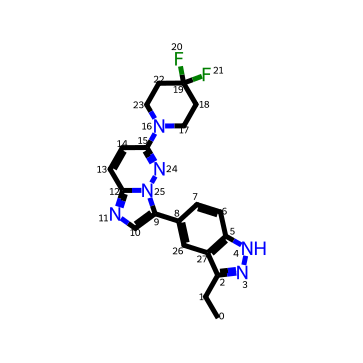 CCc1n[nH]c2ccc(-c3cnc4ccc(N5CCC(F)(F)CC5)nn34)cc12